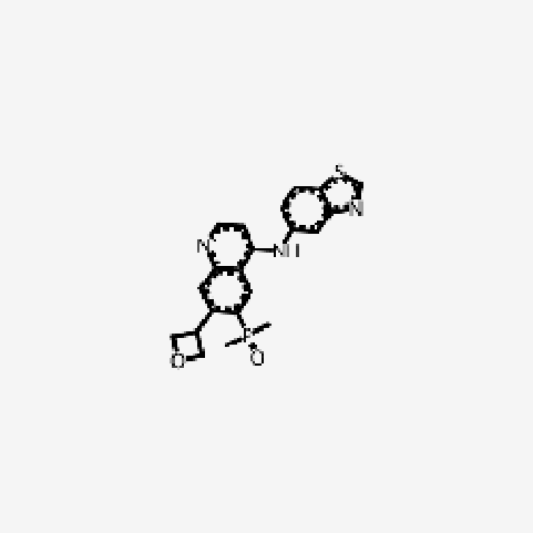 CP(C)(=O)c1cc2c(Nc3ccc4scnc4c3)ccnc2cc1C1COC1